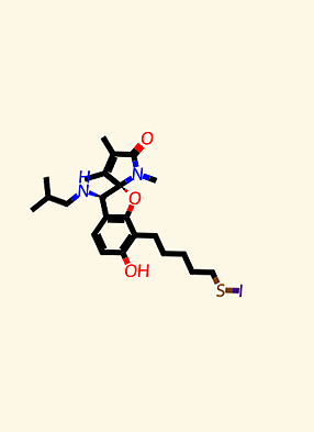 CC1=C(C)[C@@]2(Oc3c(ccc(O)c3CCCCCSI)[C@H]2NCC(C)C)N(C)C1=O